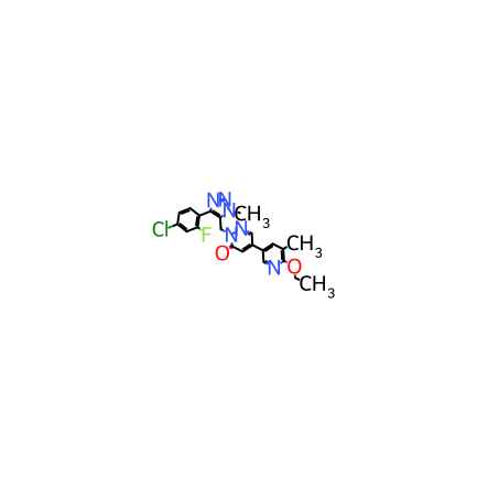 CCOc1ncc(-c2cnn(Cc3c(-c4ccc(Cl)cc4F)nnn3C)c(=O)c2)cc1C